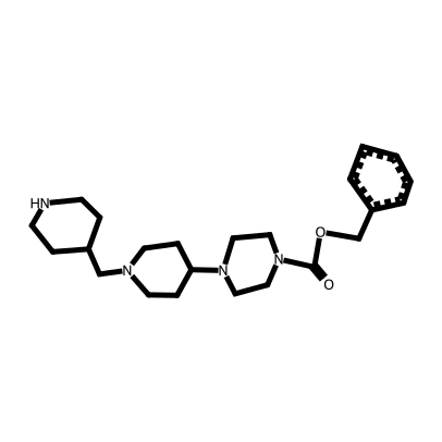 O=C(OCc1ccccc1)N1CCN(C2CCN(CC3CCNCC3)CC2)CC1